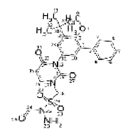 COc1c(-c2ccccc2)cc(-n2c(=O)ccn(CS(=O)(=O)N(N)C=O)c2=O)cc1C(C)(C)C